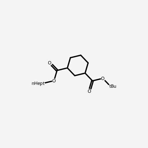 CCCCCCCOC(=O)C1CCCC(C(=O)OC(C)(C)C)C1